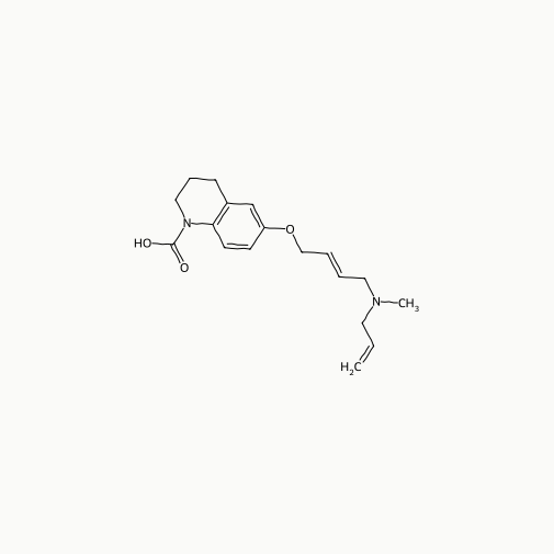 C=CCN(C)CC=CCOc1ccc2c(c1)CCCN2C(=O)O